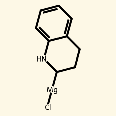 [Cl][Mg][CH]1CCc2ccccc2N1